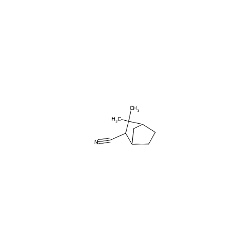 CC1(C)C2CCC(C2)C1C#N